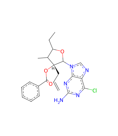 C=CC[C@@]1(OC(=O)c2ccccc2)C(C)C(CC)OC1n1cnc2c(Cl)nc(N)nc21